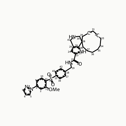 COc1cc(-n2cccn2)ccc1S(=O)(=O)c1ccc(CNC(=O)c2cc3c([nH]2)C2(CCCCCCCCCC2)CNC3)cc1